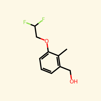 Cc1c(CO)cccc1OCC(F)F